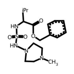 CC(C)C(NS(=O)(=O)NN1CCN(C)CC1)C(=O)OCc1ccccc1